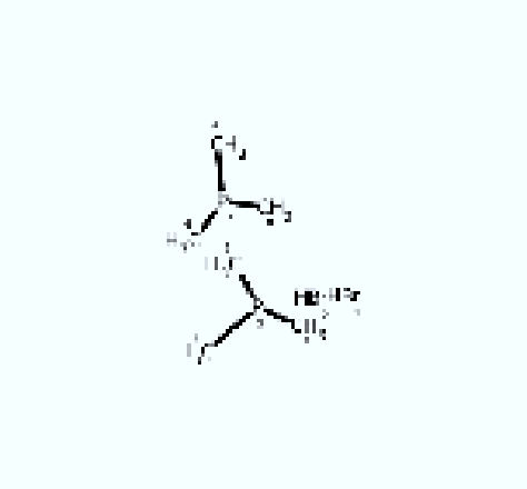 Br.Br.CP(C)C.CP(C)C